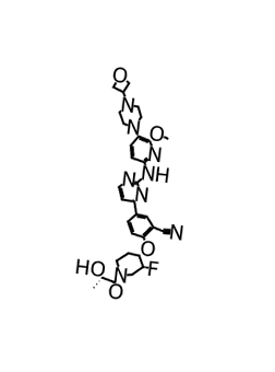 COc1nc(Nc2nccc(-c3ccc(O[C@H]4CCN(C(=O)[C@H](C)O)C[C@@H]4F)c(C#N)c3)n2)ccc1N1CCN(C2COC2)CC1